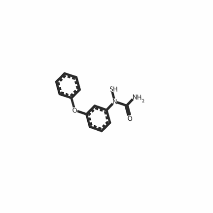 NC(=O)N(S)c1cccc(Oc2ccccc2)c1